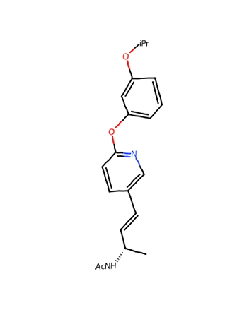 CC(=O)N[C@@H](C)/C=C/c1ccc(Oc2cccc(OC(C)C)c2)nc1